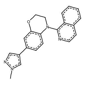 Cn1cc(-c2ccc3c(c2)OCCN3c2nccc3ccccc23)cn1